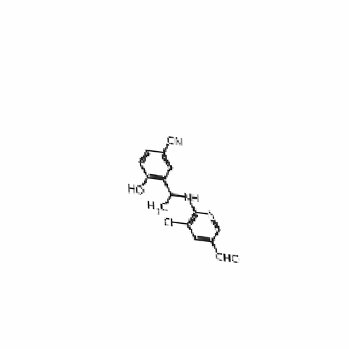 CC(Nc1ncc(C=O)cc1Cl)c1cc(C#N)ccc1O